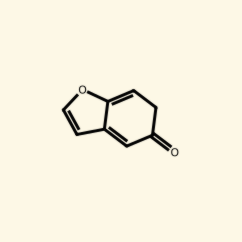 O=C1C=c2ccoc2=CC1